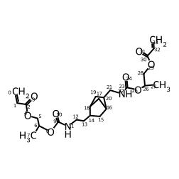 C=CC(=O)OCC(C)OC(=O)NCCC1CC2CC1CC2CNC(=O)OC(C)COC(=O)C=C